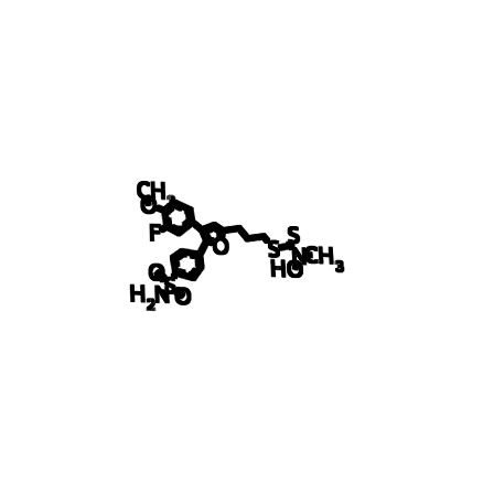 COc1ccc(-c2cc(CCCSC(=S)N(C)O)oc2-c2ccc(S(N)(=O)=O)cc2)cc1F